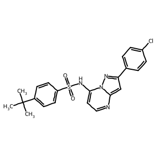 CC(C)(C)c1ccc(S(=O)(=O)Nc2ccnc3cc(-c4ccc(Cl)cc4)nn23)cc1